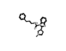 CN1CCC(c2nc3ccccc3n2C(=O)NCCCc2ccccc2)C1